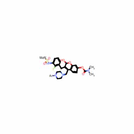 CNS(=O)(=O)Nc1cccc(CC2=C(CN3CCN(C(C)=O)CC3)c3ccc(OC(=O)N(C)C)cc3OC2O)c1F